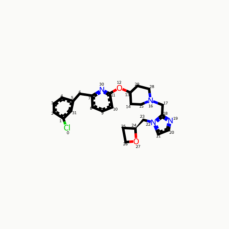 Clc1cccc(Cc2cccc(OC3CCN(Cc4nccn4C[C@@H]4CCO4)CC3)n2)c1